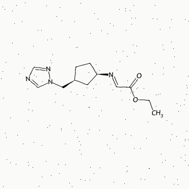 CCOC(=O)C=N[C@@H]1CC[C@H](Cn2cncn2)C1